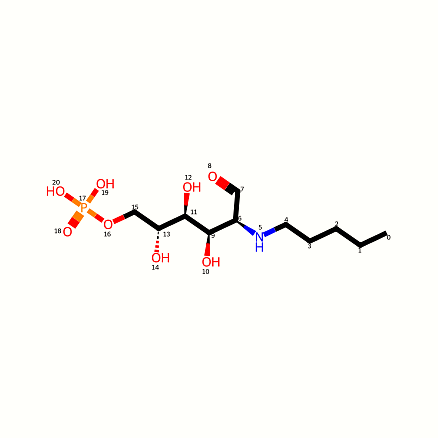 CCCCCN[C@H](C=O)[C@@H](O)[C@H](O)[C@H](O)COP(=O)(O)O